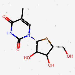 Cc1cn([C@@H]2S[C@H](CO)C(O)C2O)c(=O)[nH]c1=O